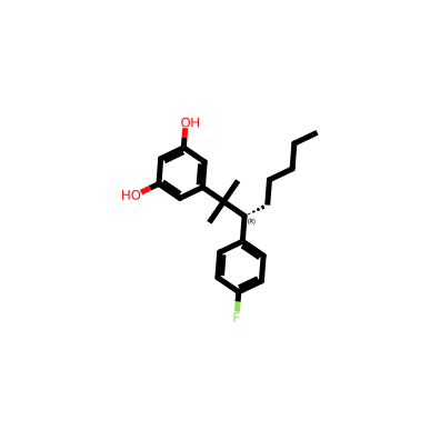 CCCCC[C@H](c1ccc(F)cc1)C(C)(C)c1cc(O)cc(O)c1